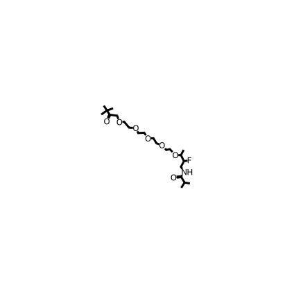 CC(C)C(=O)NCC(F)C(C)OCCOCCOCCOCCOCC(=O)C(C)(C)C